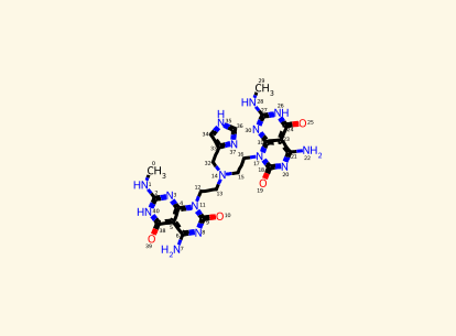 CNc1nc2c(c(N)nc(=O)n2CCN(CCn2c(=O)nc(N)c3c(=O)[nH]c(NC)nc32)Cc2c[nH]cn2)c(=O)[nH]1